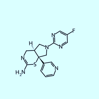 NC1=NC[C@H]2CN(c3ncc(F)cn3)C[C@]2(c2cccnc2)S1